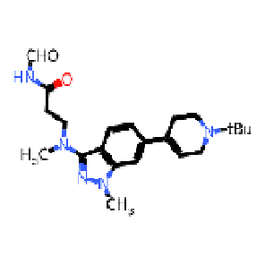 CN(CCC(=O)NC=O)c1nn(C)c2cc(C3=CCN(C(C)(C)C)CC3)ccc12